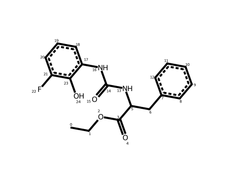 CCOC(=O)C(Cc1ccccc1)NC(=O)Nc1cccc(F)c1O